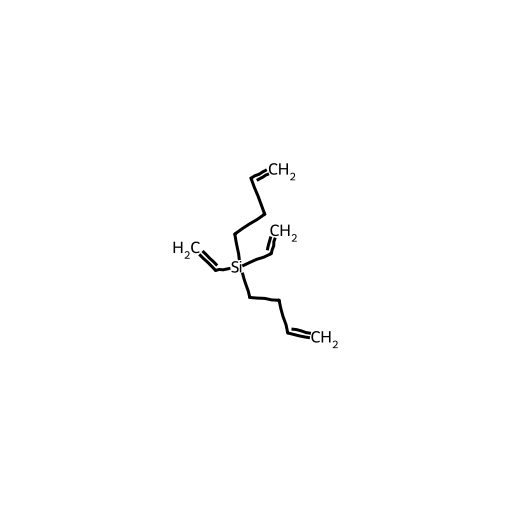 C=CCC[Si](C=C)(C=C)CCC=C